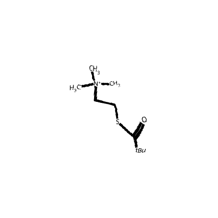 CC(C)(C)C(=O)SCC[N+](C)(C)C